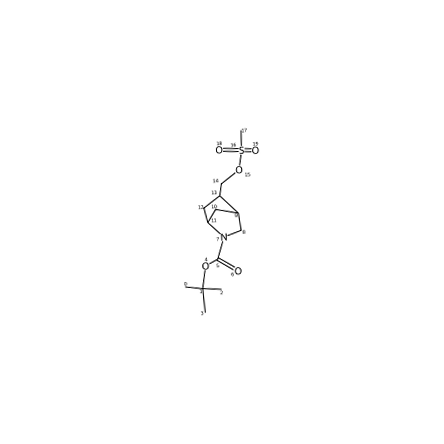 CC(C)(C)OC(=O)N1CC2CC1CC2COS(C)(=O)=O